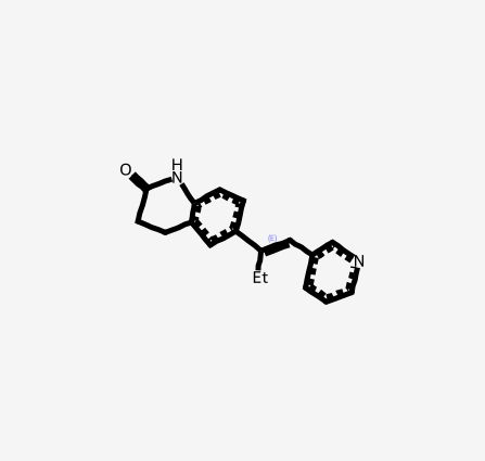 CC/C(=C\c1cccnc1)c1ccc2c(c1)CCC(=O)N2